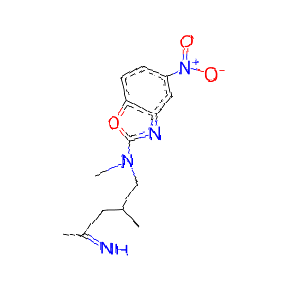 CC(=N)CC(C)CN(C)c1nc2cc([N+](=O)[O-])ccc2o1